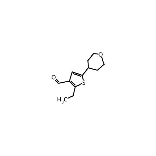 CCc1sc(C2CCOCC2)cc1C=O